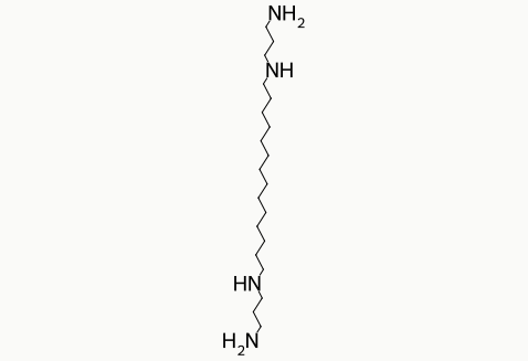 NCCCNCCCCCCCCCCCCCCNCCCN